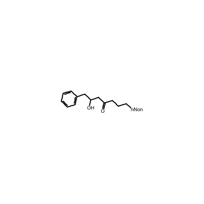 CCCCCCCCCCCCC(=O)CC(O)Cc1ccccc1